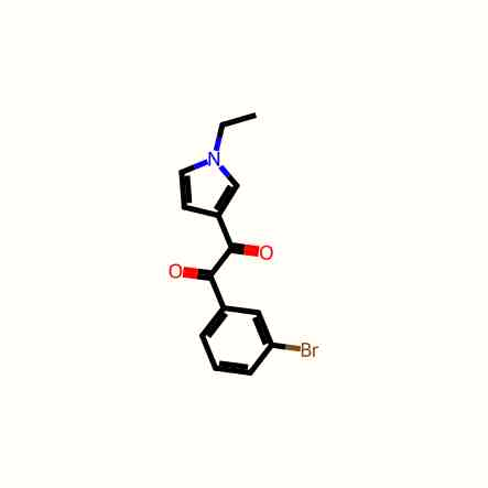 CCn1ccc(C(=O)C(=O)c2cccc(Br)c2)c1